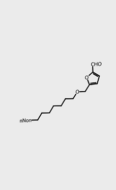 CCCCCCCCCCCCCCCCOCc1ccc(C=O)o1